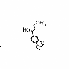 CCC[C@@H](O)c1ccc2c(c1)OCO2